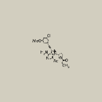 C=CC(=O)N1CCC(n2nc(C#Cc3cc(Cl)cc(OC)c3)c3c(N)ncc(C(C)=O)c32)C1